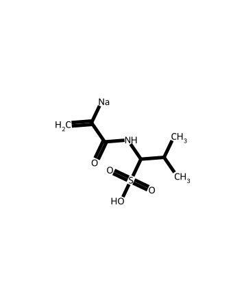 C=[C]([Na])C(=O)NC(C(C)C)S(=O)(=O)O